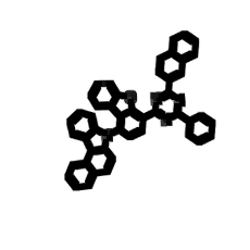 c1ccc(-c2nc(-c3ccc4ccccc4c3)nc(-c3ccc(-n4c5ccccc5c5c6ccccc6ccc54)c4c3oc3ccccc34)n2)cc1